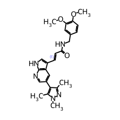 COc1ccc(CNC(=O)/C=C/c2c[nH]c3ncc(-c4c(C)nn(C)c4C)cc23)cc1OC